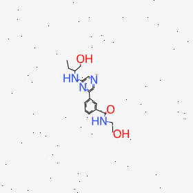 CCC(CO)Nc1cncc(-c2cccc(C(=O)NCCO)c2)n1